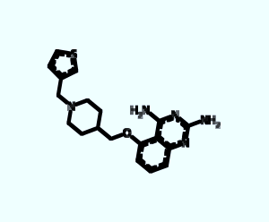 Nc1nc(N)c2c(OCC3CCN(Cc4ccsc4)CC3)cccc2n1